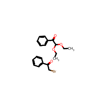 CCOC(OCC)C(=O)c1ccccc1.O=C(CBr)c1ccccc1